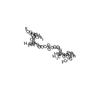 C[C@@H]1CN(CC(=O)N2CC(C)(C)c3[nH]c(=O)c(Cc4ccc(F)cc4)cc32)[C@@H](CN2CCOC(COc3ccc(C(=O)C(=O)c4ccc(OCC5CN(C[C@H]6CN[C@H](C)CN6CC(=O)N6CC(C)(C)c7[nH]c(=O)c(Cc8ccc(F)cc8)cc76)CCO5)cc4)cc3)C2)CN1